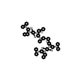 N#Cc1cc(-n2c3ccc(-n4c5ccccc5c5ccccc54)cc3c3c4ccccc4ccc32)c(C#N)cc1-n1c2ccc(-n3c4ccccc4c4ccccc43)cc2c2cc3c(cc21)sc1c(-c2ccc4c(c2)c2ccccc2n4-c2ccc4c(c2)c2c5oc6ccccc6c5ccc2n4-c2cc(C#N)c(-n4c5ccc(-n6c7ccccc7c7ccccc76)cc5c5c6ccccc6ccc54)cc2C#N)cccc13